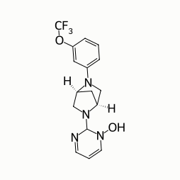 ON1C=CC=NC1N1C[C@@H]2C[C@H]1CN2c1cccc(OC(F)(F)F)c1